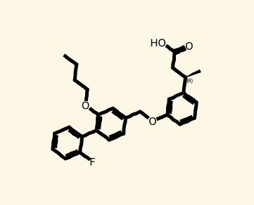 CCCCOc1cc(COc2cccc([C@H](C)CC(=O)O)c2)ccc1-c1ccccc1F